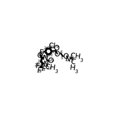 CC(C)=NOCCOC(=O)c1cc(-n2c(=O)cc(C(F)(F)F)n(C)c2=O)c(F)cc1Cl